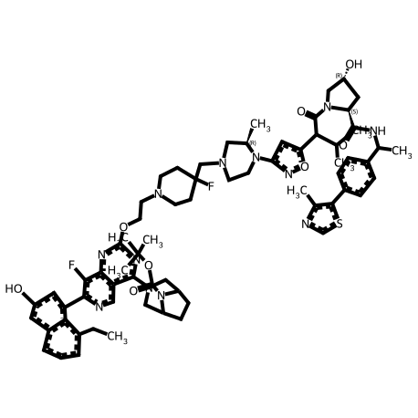 CCc1cccc2cc(O)cc(-c3ncc4c(N5CC6CCC(C5)N6C(=O)OC(C)(C)C)nc(OCCN5CCC(F)(CN6CCN(c7cc(C(C(=O)N8C[C@H](O)C[C@H]8C(=O)NC(C)c8ccc(-c9scnc9C)cc8)C(C)C)on7)[C@H](C)C6)CC5)nc4c3F)c12